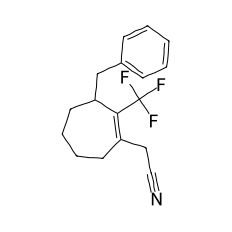 N#CCC1=C(C(F)(F)F)C(Cc2ccccc2)CCCC1